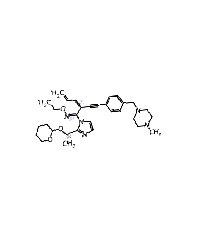 C=C/C=C(C#Cc1ccc(CN2CCN(C)CC2)cc1)\C(=N/OCC)n1ccnc1[C@H](C)OC1CCCCO1